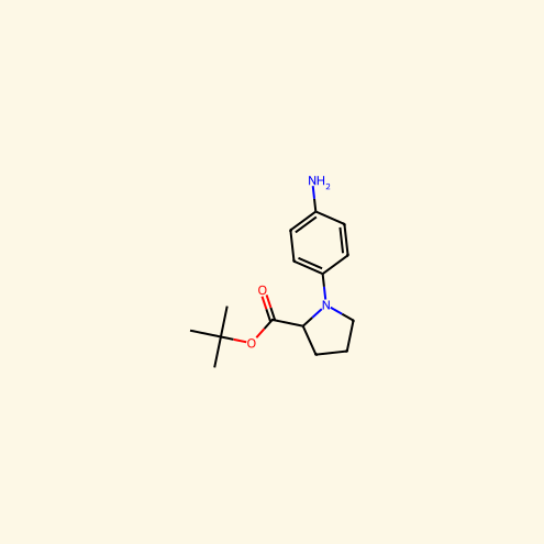 CC(C)(C)OC(=O)C1CCCN1c1ccc(N)cc1